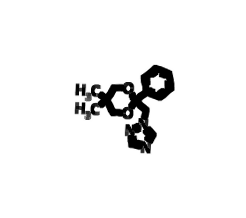 CC1(C)COC(Cn2cncn2)(c2ccccc2)OC1